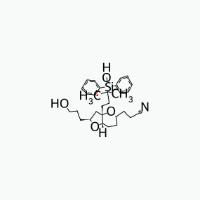 CC(C)(CC[C@]12C[C@H](CCCO)O[C@H]1CCC(CCC#N)O2)[Si](O)(c1ccccc1)c1ccccc1